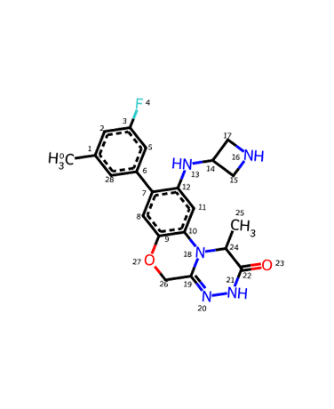 Cc1cc(F)cc(-c2cc3c(cc2NC2CNC2)N2C(=NNC(=O)C2C)CO3)c1